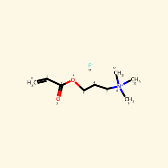 C=CC(=O)OCCC[N+](C)(C)C.[F-]